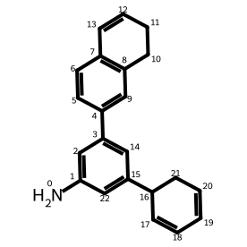 Nc1cc(-c2ccc3c(c2)CCC=C3)cc(C2C=CC=CC2)c1